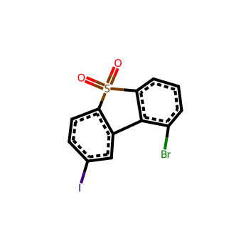 O=S1(=O)c2ccc(I)cc2-c2c(Br)cccc21